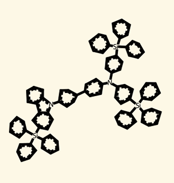 c1ccc([Si](c2ccccc2)(c2ccccc2)c2ccc(N(c3ccc(-c4ccc(-n5c6ccccc6c6cc([Si](c7ccccc7)(c7ccccc7)c7ccccc7)ccc65)cc4)cc3)c3ccc([Si](c4ccccc4)(c4ccccc4)c4ccccc4)cc3)cc2)cc1